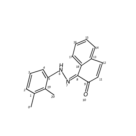 Cc1cccc(N/N=C2/C(=O)C=Cc3ccccc32)c1C